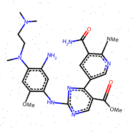 CNc1ncc(-c2nc(Nc3cc(N)c(N(C)CCN(C)C)cc3OC)ncc2C(=O)OC)cc1C(N)=O